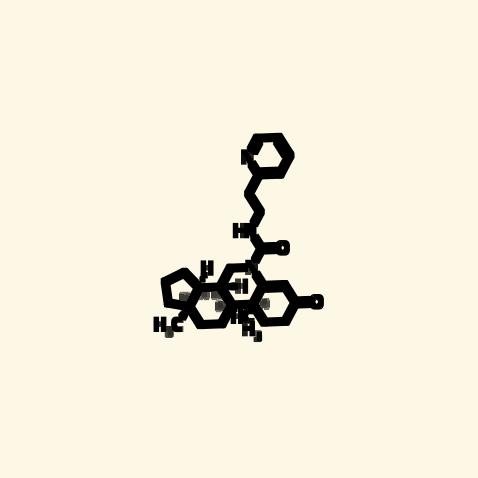 C[C@@]12CCC[C@H]1[C@@H]1CN(C(=O)NCCc3ccccn3)C3=CC(=O)CC[C@]3(C)[C@H]1CC2